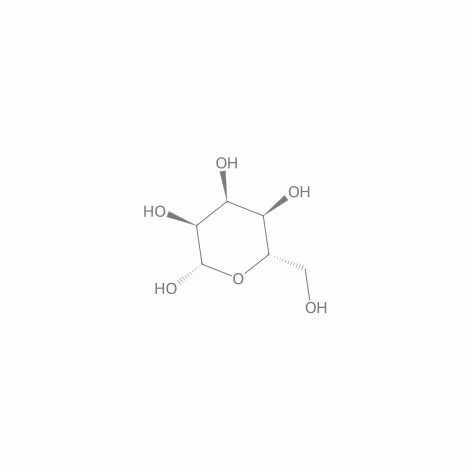 OC[C@@H]1O[C@H](O)[C@@H](O)[C@@H](O)[C@H]1O